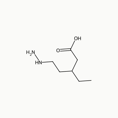 CCC(CCNN)CC(=O)O